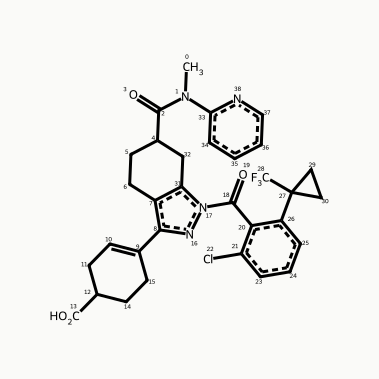 CN(C(=O)C1CCc2c(C3=CCC(C(=O)O)CC3)nn(C(=O)c3c(Cl)cccc3C3(C(F)(F)F)CC3)c2C1)c1ccccn1